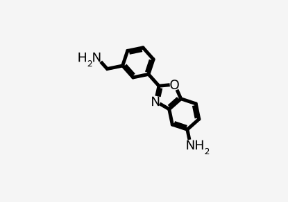 NCc1cccc(-c2nc3cc(N)ccc3o2)c1